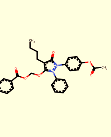 CCCCc1c(OCOC(=O)c2ccccc2)n(-c2ccccc2)n(-c2ccc(OC(C)=O)cc2)c1=O